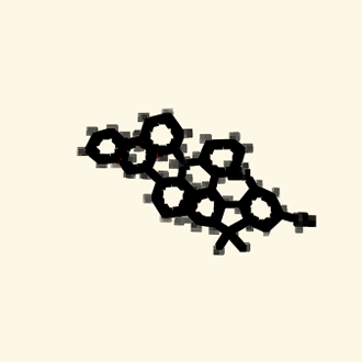 CC(C)(C)c1cc(C(C)(C)C)c2c(c1)C(C)(C)c1cccc(-c3ccccc3N(c3cccc(-c4ccccc4)c3)c3ccccc3-c3ccccc3)c1-2